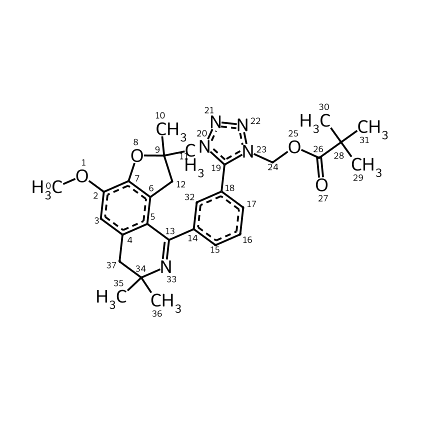 COc1cc2c(c3c1OC(C)(C)C3)C(c1cccc(-c3nnnn3COC(=O)C(C)(C)C)c1)=NC(C)(C)C2